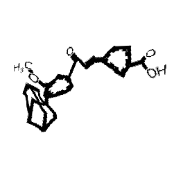 COc1cc(C(=O)C=Cc2ccc(C(=O)O)cc2)ccc1C12CC3CC(CC(C3)C1)C2